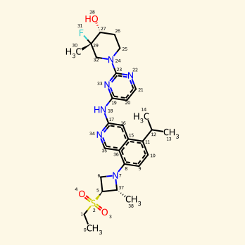 CCS(=O)(=O)[C@H]1CN(c2ccc(C(C)C)c3cc(Nc4ccnc(N5CC[C@@H](O)[C@@](C)(F)C5)n4)ncc23)[C@@H]1C